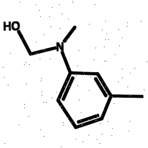 Cc1cccc(N(C)CO)c1